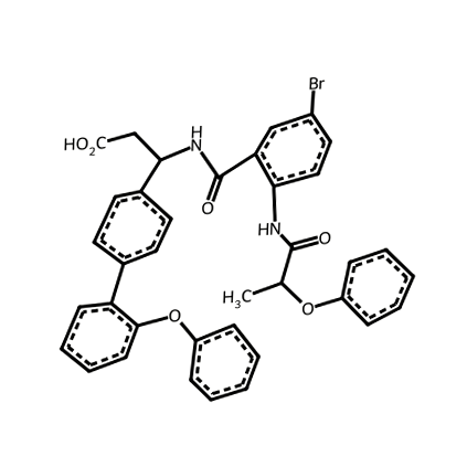 CC(Oc1ccccc1)C(=O)Nc1ccc(Br)cc1C(=O)NC(CC(=O)O)c1ccc(-c2ccccc2Oc2ccccc2)cc1